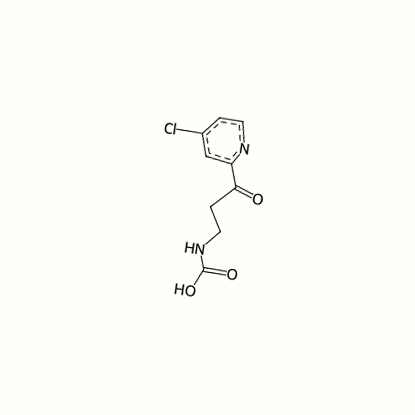 O=C(O)NCCC(=O)c1cc(Cl)ccn1